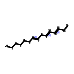 [CH2]CCCCC/C=C/C/C=C/C=C/CC